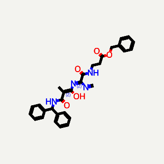 C=N/C(=N\C(O)=C(/C)C(=O)NC(c1ccccc1)c1ccccc1)C(=O)NCCC(=O)OCc1ccccc1